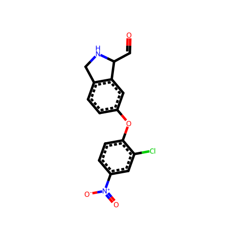 O=CC1NCc2ccc(Oc3ccc([N+](=O)[O-])cc3Cl)cc21